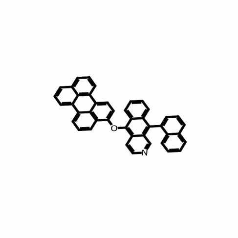 c1ccc2c(-c3c4ccccc4c(Oc4ccc5c6cccc7cccc(c8cccc4c85)c76)c4ccncc34)cccc2c1